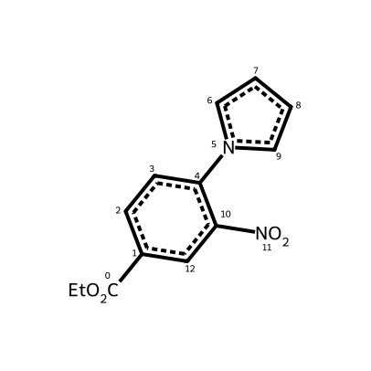 CCOC(=O)c1ccc(-n2cccc2)c([N+](=O)[O-])c1